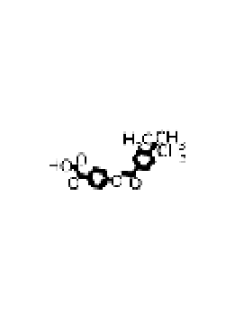 CC(C)(C)c1ccc(C(=O)COc2ccc(C(=O)C(=O)O)cc2)cc1